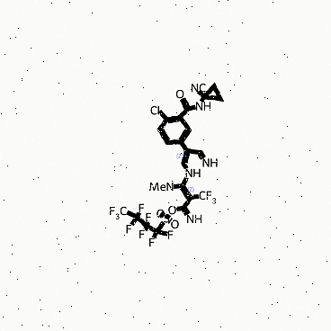 CN/C(N/C=C(\C=N)c1ccc(Cl)c(C(=O)NC2(C#N)CC2)c1)=C(\C(=N)OS(=O)(=O)C(F)(F)C(F)(F)C(F)(F)C(F)(F)F)C(F)(F)F